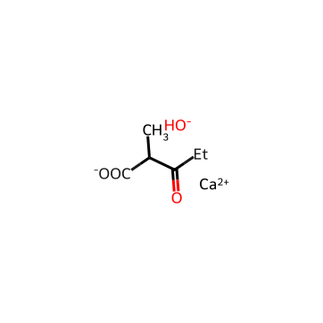 CCC(=O)C(C)C(=O)[O-].[Ca+2].[OH-]